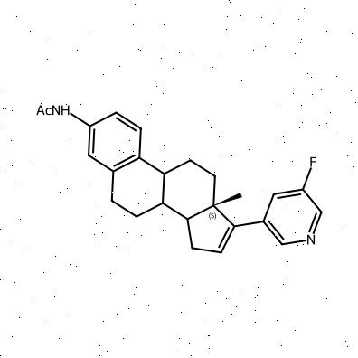 CC(=O)Nc1ccc2c(c1)CCC1C2CC[C@]2(C)C(c3cncc(F)c3)=CCC12